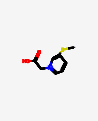 [CH2]Sc1ccc[n+](CC(=O)O)c1